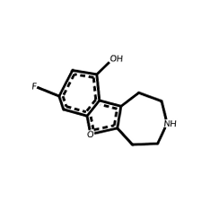 Oc1cc(F)cc2oc3c(c12)CCNCC3